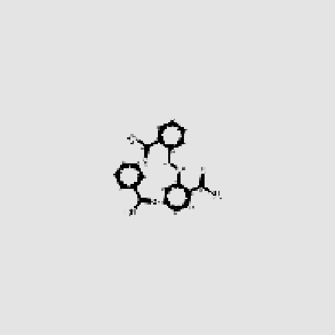 NC(=O)c1ccccc1.NC(=O)c1ccccc1SSc1ccccc1C(N)=O